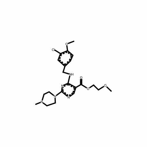 COCCOC(=O)c1cnc(N2CCN(C)CC2)nc1NCc1ccc(OC)c(Cl)c1